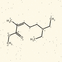 CCN(CC)CCC=C(C)C(=O)OC